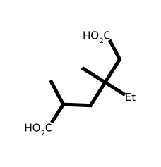 CCC(C)(CC(=O)O)CC(C)C(=O)O